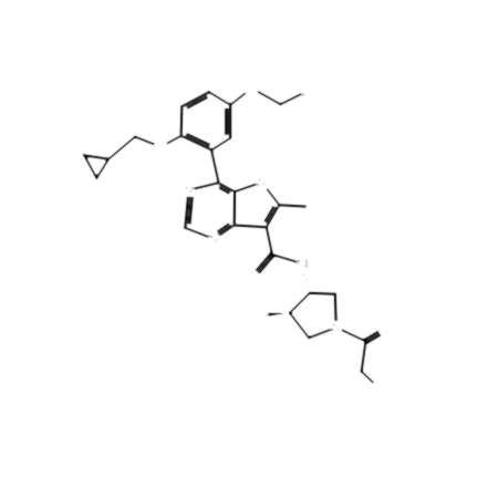 Cc1[nH]c2c(-c3cc(OCF)ccc3OCC3CC3)ncnc2c1C(=O)N[C@@H]1CN(C(=O)CO)C[C@H]1O